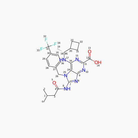 CC(C)CC(=O)Nc1nc2nc(C(=O)O)nc(N[C@H](C)C3CCC3)c2n1Cc1ccc(C(F)(F)F)cc1